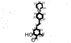 O=Cc1c(O)cc(/C=C/c2ccc(N3CCCCC3)cc2)cc1F